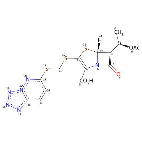 CC(=O)O[C@H](C)[C@H]1C(=O)N2C(C(=O)O)=C(SCSc3ccc4nnnn4n3)S[C@H]12